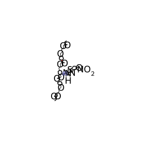 C=CC(=O)OCCCOc1ccc(C(=O)OCCc2ccc(OC(=O)c3ccc(OCCCOC(=O)C=C)cc3)c(/C=N/Nc3nc4cc(O[N+](=O)[O-])ccc4s3)c2)cc1